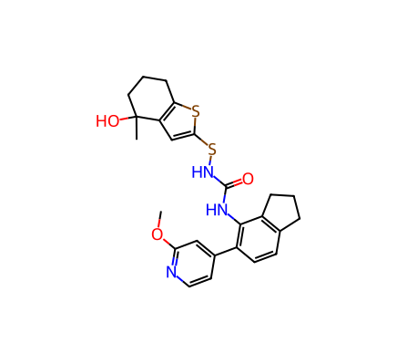 COc1cc(-c2ccc3c(c2NC(=O)NSc2cc4c(s2)CCCC4(C)O)CCC3)ccn1